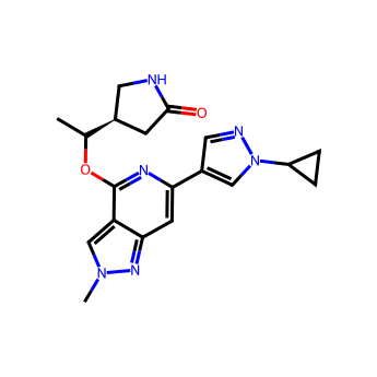 CC(Oc1nc(-c2cnn(C3CC3)c2)cc2nn(C)cc12)[C@H]1CNC(=O)C1